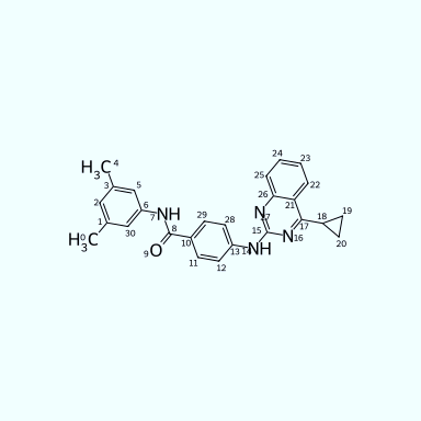 Cc1cc(C)cc(NC(=O)c2ccc(Nc3nc(C4CC4)c4ccccc4n3)cc2)c1